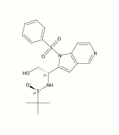 CC(C)(C)[S@@+]([O-])N[C@H](CO)c1cc2cnccc2n1S(=O)(=O)c1ccccc1